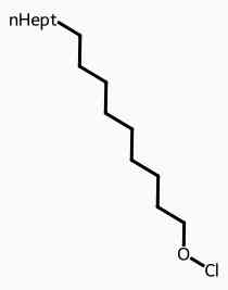 CCCCCCCCCCCCCCCCOCl